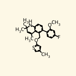 COc1cc(F)ccc1-c1ccc2c(c1COc1cc(C)cs1)C(C)=CC(C)(C)N2